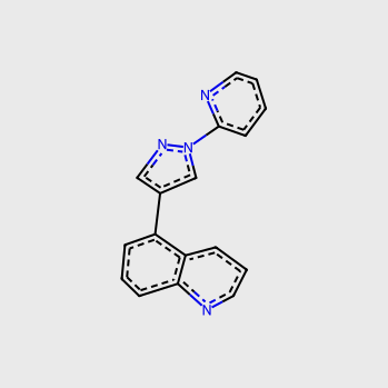 c1ccc(-n2cc(-c3cccc4ncccc34)cn2)nc1